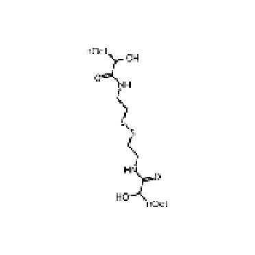 CCCCCCCCC(O)C(=O)NCCSSCCNC(=O)C(O)CCCCCCCC